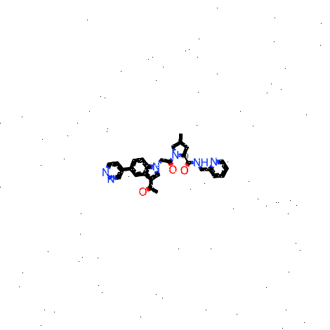 CC(=O)c1cn(CC(=O)N2CC(C)C[C@H]2C(=O)NCc2ccccn2)c2ccc(-c3ccnnc3)cc12